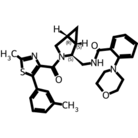 Cc1cccc(-c2sc(C)nc2C(=O)N2C[C@@H]3C[C@@H]3[C@H]2CNC(=O)c2ccccc2N2CCOCC2)c1